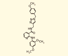 COc1ccc(Cn2cc(CNC(=O)c3cccnc3Nc3ccc(OC)cc3OC)nn2)cc1